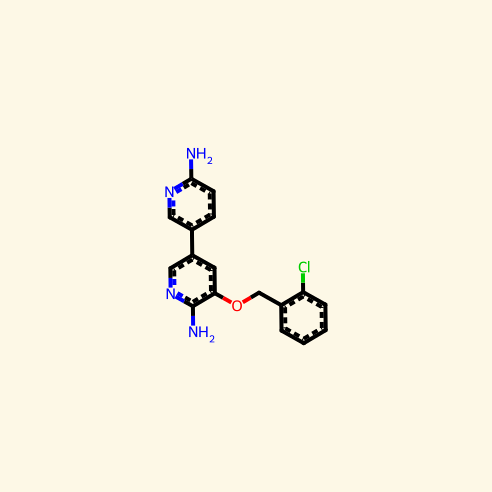 Nc1ccc(-c2cnc(N)c(OCc3ccccc3Cl)c2)cn1